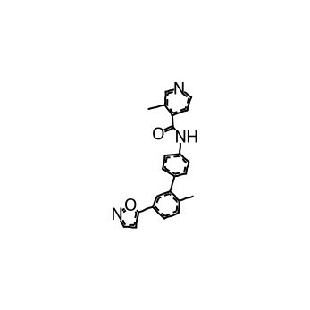 Cc1cnccc1C(=O)Nc1ccc(-c2cc(-c3ccno3)ccc2C)cc1